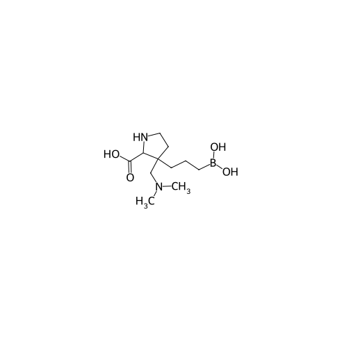 CN(C)CC1(CCCB(O)O)CCNC1C(=O)O